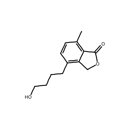 Cc1ccc(CCCCO)c2c1C(=O)OC2